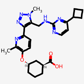 Cc1nc(-c2nnn(C)c2CNc2nccc(C3CCC3)n2)ccc1O[C@H]1CCC[C@H](C(=O)O)C1